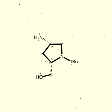 CC(C)(C)N1C[C@@H](N)C[C@H]1CO